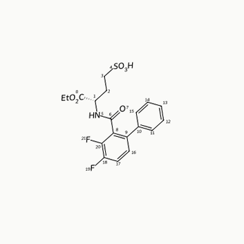 CCOC(=O)[C@H](CCS(=O)(=O)O)NC(=O)c1c(-c2ccccc2)ccc(F)c1F